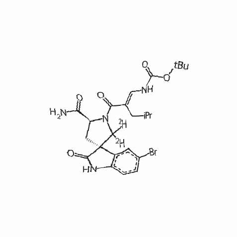 [2H]C1([2H])N(C(=O)C(=CNC(=O)OC(C)(C)C)CC(C)C)[C@H](C(N)=O)C[C@]12C(=O)Nc1ccc(Br)cc12